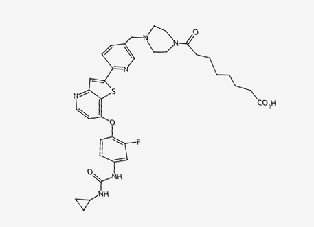 O=C(O)CCCCCCC(=O)N1CCN(Cc2ccc(-c3cc4nccc(Oc5ccc(NC(=O)NC6CC6)cc5F)c4s3)nc2)CC1